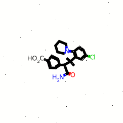 CC(C)(c1cc(Cl)ccc1N1CCCCC1)C(C(N)=O)c1ccc(C(=O)O)cc1